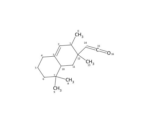 CC1C=C2CCCC(C)(C)C2CC1(C)C=C=O